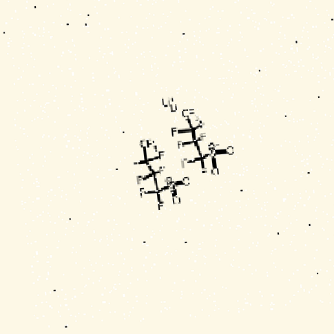 O=S(=O)([O-])C(F)(F)C(F)(F)C(F)(F)C(F)(F)F.O=S(=O)([O-])C(F)(F)C(F)(F)C(F)(F)C(F)(F)F.[Li+].[Li+]